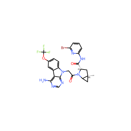 C[C@]12CC1N(C(=O)Cn1c3ccc(OC(F)(F)F)cc3c3c(N)ncnc31)[C@H](C(=O)Nc1cccc(Br)n1)C2